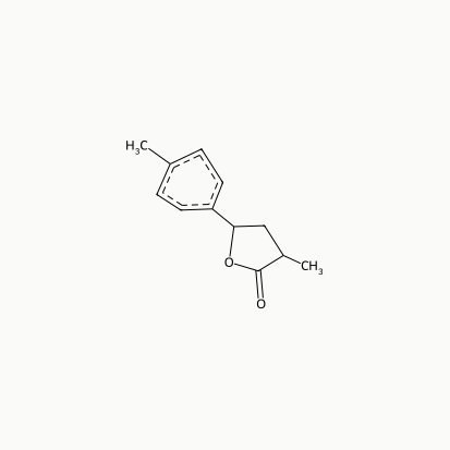 Cc1ccc(C2CC(C)C(=O)O2)cc1